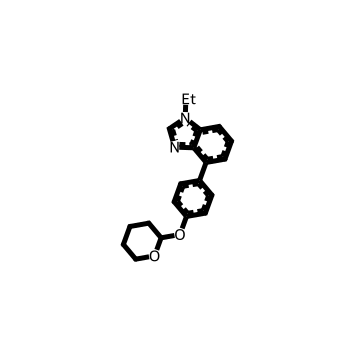 CCn1cnc2c(-c3ccc(OC4CCCCO4)cc3)cccc21